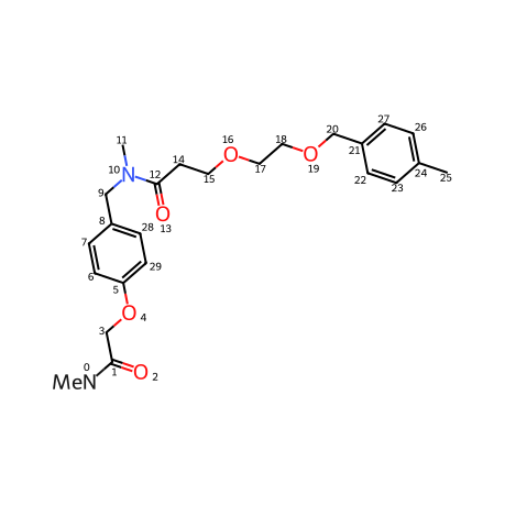 CNC(=O)COc1ccc(CN(C)C(=O)CCOCCOCc2ccc(C)cc2)cc1